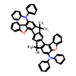 CC1(C)c2cc3c(cc2-c2c1cc(N(c1ccccc1)c1ccccc1)c1c2oc2ccccc21)C(C)(C)c1cc(N(c2ccccc2)c2ccccc2)c2oc4ccccc4c2c1-3